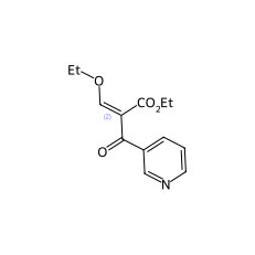 CCO/C=C(\C(=O)OCC)C(=O)c1cccnc1